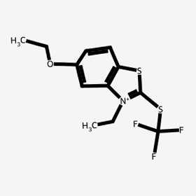 CCOc1ccc2sc(SC(F)(F)F)[n+](CC)c2c1